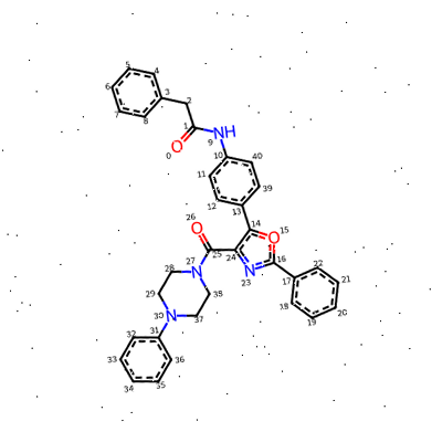 O=C(Cc1ccccc1)Nc1ccc(-c2oc(-c3ccccc3)nc2C(=O)N2CCN(c3ccccc3)CC2)cc1